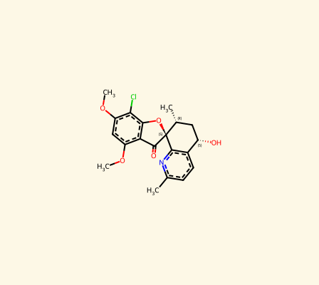 COc1cc(OC)c2c(c1Cl)O[C@]1(C2=O)c2nc(C)ccc2[C@@H](O)C[C@H]1C